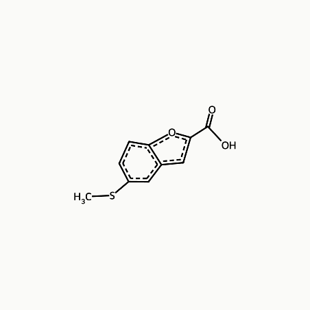 CSc1ccc2oc(C(=O)O)cc2c1